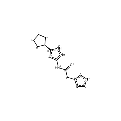 O=C(Cc1cncs1)Nc1cc([C@H]2C[CH]CC2)[nH]n1